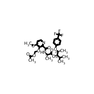 COc1ccnc(C(=O)N[C@@H](C)C(=O)O[C@H](C(C)C)[C@H](C)Oc2ccc(C(F)(F)F)cc2)c1OCOC(C)=O